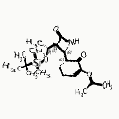 CC(C)OC1=CCC[C@H]([C@H]2NC(=O)[C@@H]2[C@@H](C)O[Si](C)(C)C(C)(C)C)C1=O